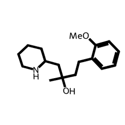 COc1ccccc1CCC(C)(O)CC1CCCCN1